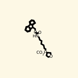 C1CCOC1.O=C(O)CCCCCCCNC(=O)OCC1c2ccccc2-c2ccccc21